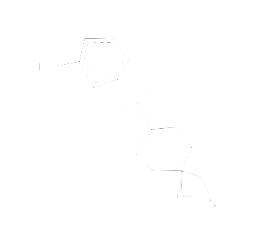 O=[N+]([O-])CC1(O)CCC(S(=O)(=O)c2cccc(C(F)(F)F)c2)CC1